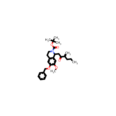 C=C(CCC)C(=O)CC1c2cc(OC)c(OCc3ccccc3)cc2CCN1C(=O)OC(C)(C)C